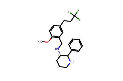 COc1ccc(CCC(F)(F)F)cc1CN[C@H]1CCCNC1c1ccccc1